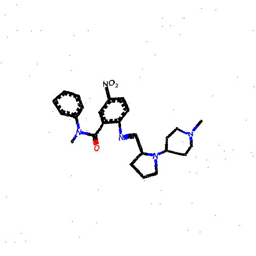 CN1CCC(N2CCCC2/C=N/c2ccc([N+](=O)[O-])cc2C(=O)N(C)c2ccccc2)CC1